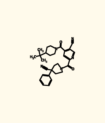 CC(C)(C)C1CCN(C(=O)c2cc(C(=O)N3CCC(C#N)(c4ccccc4)CC3)ncc2C#N)CC1